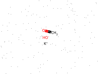 C=O.[K+].[OH-]